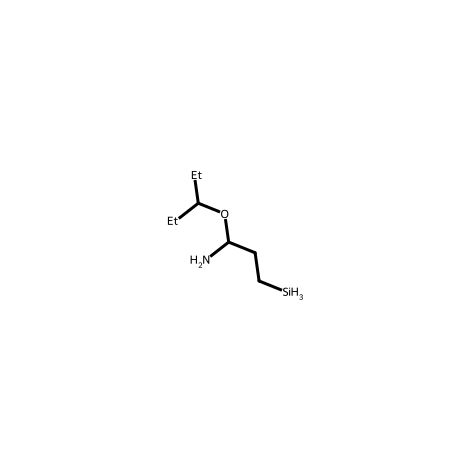 CCC(CC)OC(N)CC[SiH3]